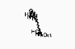 CCCCCCCCNCC(O)CCCCCCCc1nc2c(c(=O)[nH]c(=O)n2C)n1C